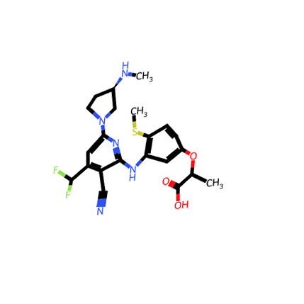 CN[C@@H]1CCN(c2cc(C(F)F)c(C#N)c(Nc3cc(OC(C)C(=O)O)ccc3SC)n2)C1